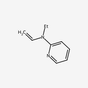 C=CN(CC)c1ccccn1